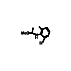 COC(C)Nc1c(C)cccc1Br